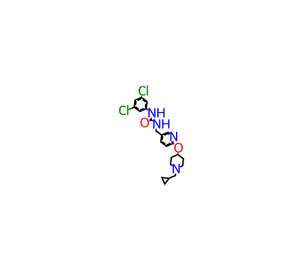 O=C(NCc1ccc(OC2CCN(CC3CC3)CC2)nc1)Nc1cc(Cl)cc(Cl)c1